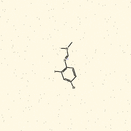 CN(C)/C=N/c1ccc(Br)cc1I